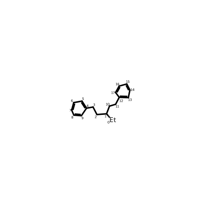 CCC(CCc1ccccc1)CCc1ccccc1